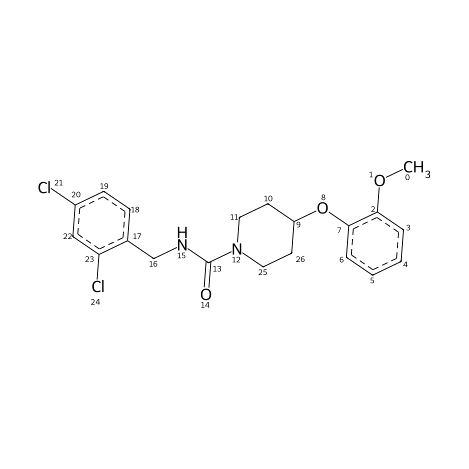 COc1ccccc1OC1CCN(C(=O)NCc2ccc(Cl)cc2Cl)CC1